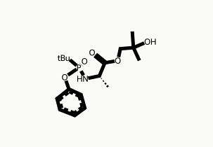 C[C@H](NP(=O)(Oc1ccccc1)C(C)(C)C)C(=O)OCC(C)(C)O